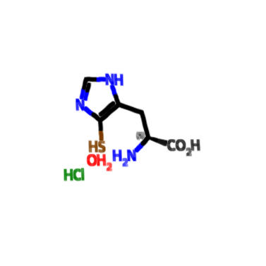 Cl.N[C@@H](Cc1[nH]cnc1S)C(=O)O.O